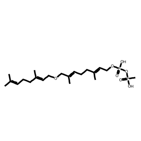 CC(C)=CCC/C(C)=C/COC/C(C)=C/CC/C(C)=C/COP(=O)(O)OP(C)(=O)O